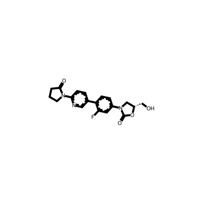 O=C1O[C@@H](CO)CN1c1ccc(-c2ccc(N3CCCC3=O)nc2)c(F)c1